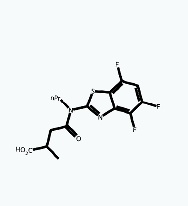 CCCN(C(=O)CC(C)C(=O)O)c1nc2c(F)c(F)cc(F)c2s1